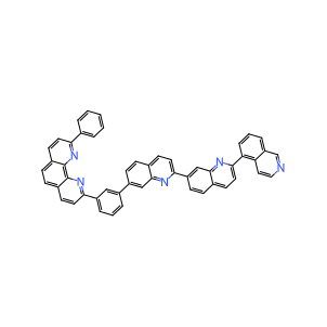 c1ccc(-c2ccc3ccc4ccc(-c5cccc(-c6ccc7ccc(-c8ccc9ccc(-c%10cccc%11cnccc%10%11)nc9c8)nc7c6)c5)nc4c3n2)cc1